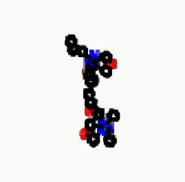 c1ccc(-c2nc(-c3ccccc3)nc(-c3c(-c4cccc5c4oc4cc6ccc(-c7ccc8c(c7)sc7cccc(-c9cccc%10oc%11cccc(-c%12nc(-c%13ccccc%13)nc(-c%13ccc%14c(ccc%15ccccc%15%14)c%13)n%12)c%11c9%10)c78)cc6cc45)ccc4oc5ccccc5c34)n2)cc1